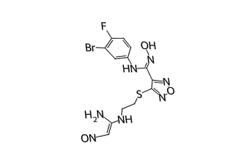 N/C(=C\N=O)NCCSc1nonc1/C(=N/O)Nc1ccc(F)c(Br)c1